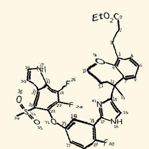 CCOC(=O)CCc1cccc2c1OCCC2(C)c1c[nH]c(-c2cc(Oc3c(F)c(F)c4[nH]ccc4c3S(C)(=O)=O)ccc2F)n1